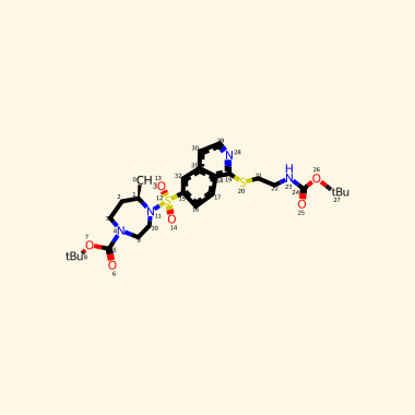 C[C@@H]1CCN(C(=O)OC(C)(C)C)CCN1S(=O)(=O)c1ccc2c(SCCNC(=O)OC(C)(C)C)nccc2c1